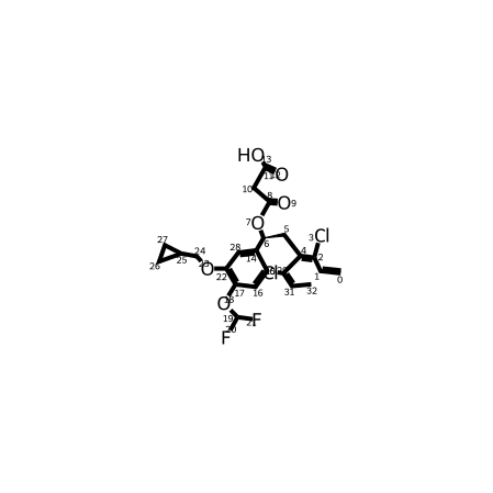 C=C/C(Cl)=C(C[C@H](OC(=O)CC(=O)O)c1ccc(OC(F)F)c(OCC2CC2)c1)\C(Cl)=C/C